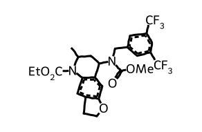 CCOC(=O)N1c2cc3c(cc2C(N(Cc2cc(C(F)(F)F)cc(C(F)(F)F)c2)C(=O)OC)CC1C)OCC3